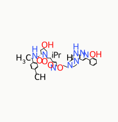 C#Cc1ccc([C@H](C)NC(=O)[C@@H]2C[C@@H](O)CN2C(=O)[C@@H](c2cc(OCCN3CCN4c5cc(-c6ccccc6O)nnc5NC[C@H]4C3)no2)C(C)C)cc1